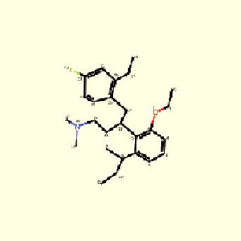 CCOc1cccc(C(C)CC)c1C(CCN(C)C)Cc1ccc(F)cc1CC